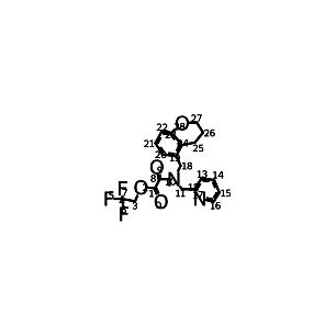 O=C(OCC(F)(F)F)C(=O)N(Cc1ccccn1)Cc1cccc2c1CCCO2